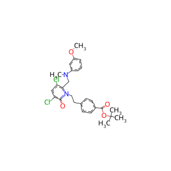 COc1cccc(N(C)Cc2c(Cl)cc(Cl)c(=O)n2CCc2ccc(C(=O)OC(C)(C)C)cc2)c1